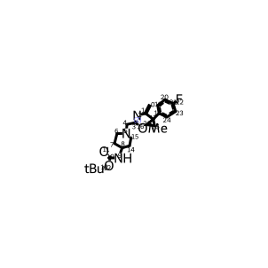 C=C(/N=C(/CN1CCC(NC(=O)OC(C)(C)C)CC1)OC)C1(c2ccc(F)cc2)CC1